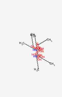 CCCCCCCCCCCCCC(=O)O[C@H](CCCCCCCCCCC)CC(=O)NC1C(OC(=O)C[C@@H](CCCCCCCCCCC)OC(=O)CCCCCCCCCCCCC)[C@H](OP(=O)(O)O)C(CO)O[C@H]1OCC1O[C@H](O)C(NC(=O)C[C@H](O)CCCCCCCCCCC)C(OC(=O)C[C@H](O)CCCCCCCCCCC)[C@@H]1O